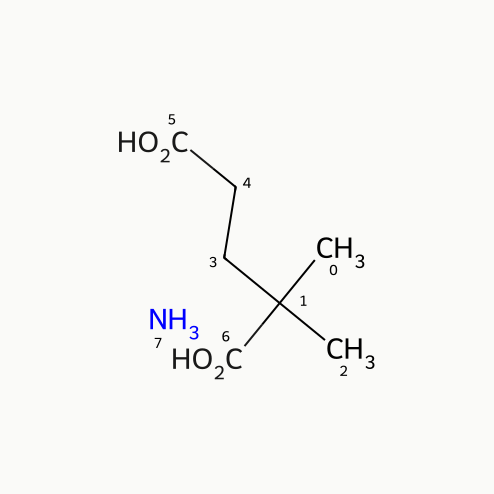 CC(C)(CCC(=O)O)C(=O)O.N